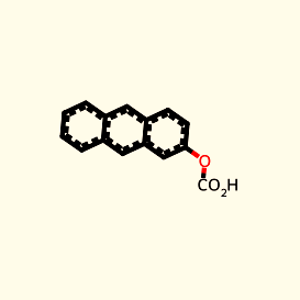 O=C(O)Oc1ccc2cc3ccccc3cc2c1